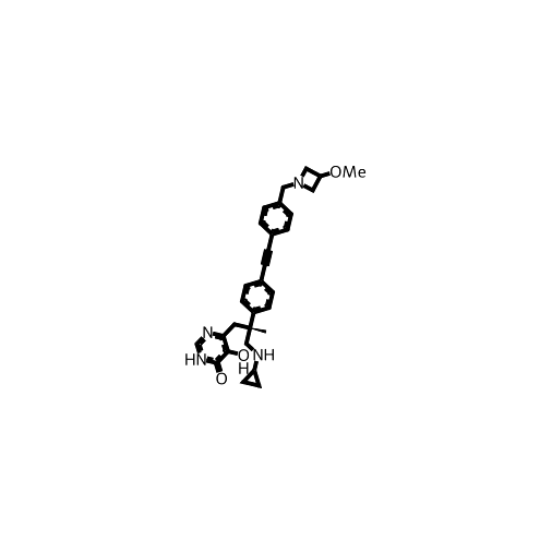 COC1CN(Cc2ccc(C#Cc3ccc([C@](C)(CNC4CC4)Cc4nc[nH]c(=O)c4O)cc3)cc2)C1